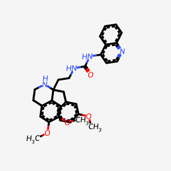 COc1cccc(CC2(CCNC(=O)Nc3ccnc4ccccc34)NCCc3cc(OC)c(OC)cc32)c1